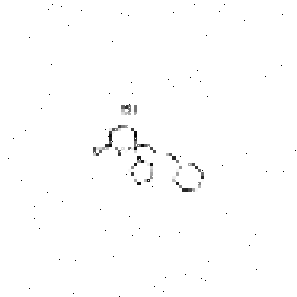 O=C1C=C(O)CC(CCCC2CCCCC2)(C2CCCC2)O1